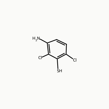 Nc1ccc(Cl)c(S)c1Cl